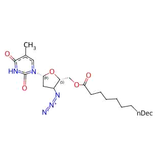 CCCCCCCCCCCCCCCCC(=O)OC[C@H]1O[C@@H](n2cc(C)c(=O)[nH]c2=O)CC1N=[N+]=[N-]